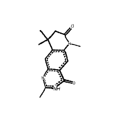 Cc1nc2cc3c(cc2c(=O)[nH]1)N(C)C(=O)CC3(C)C